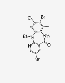 CCN1c2ncc(Br)cc2C(=O)Nc2c1nc(Cl)c(Br)c2C